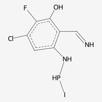 N=Cc1c(NPI)cc(Cl)c(F)c1O